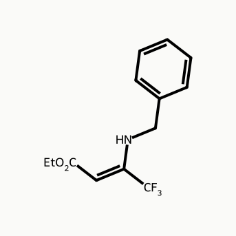 CCOC(=O)/C=C(\NCc1ccccc1)C(F)(F)F